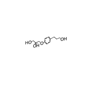 OCCCc1ccc(OC[C@@H](O)CO)cc1